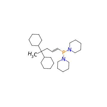 CC(CC=CP(N1CCCCC1)N1CCCCC1)(C1CCCCC1)C1CCCCC1